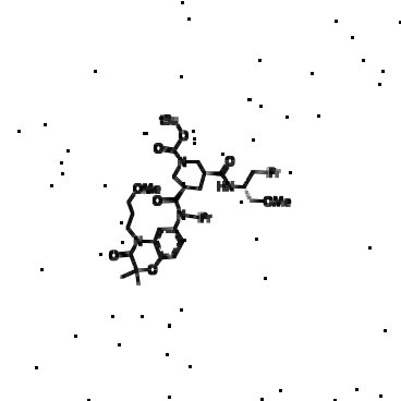 COCCCN1C(=O)C(C)(C)Oc2ccc(N(C(=O)[C@@H]3C[C@H](C(=O)N[C@@H](COC)CC(C)C)CN(C(=O)OC(C)(C)C)C3)C(C)C)cc21